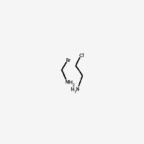 NCBr.NCCCl